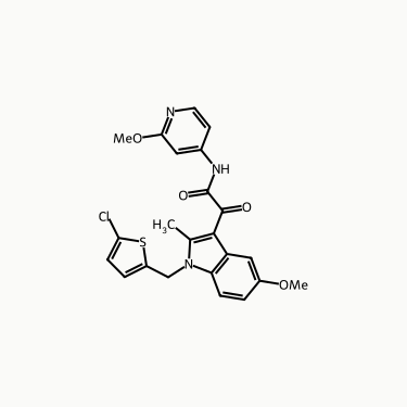 COc1ccc2c(c1)c(C(=O)C(=O)Nc1ccnc(OC)c1)c(C)n2Cc1ccc(Cl)s1